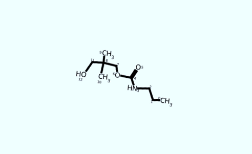 CCCNC(=O)OCC(C)(C)CO